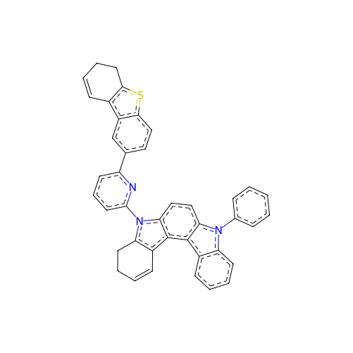 C1=Cc2c(sc3ccc(-c4cccc(-n5c6c(c7c8c9ccccc9n(-c9ccccc9)c8ccc75)C=CCC6)n4)cc23)CC1